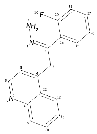 NN=C(Cc1ccnc2ccccc12)c1ccccc1F